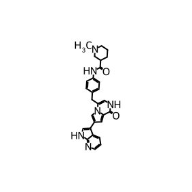 CN1CCCC(C(=O)Nc2ccc(Cc3c[nH]c(=O)c4cc(-c5c[nH]c6ncccc56)cn34)cc2)C1